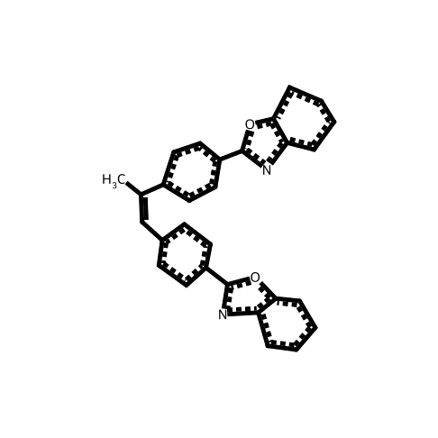 CC(=Cc1ccc(-c2nc3ccccc3o2)cc1)c1ccc(-c2nc3ccccc3o2)cc1